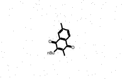 CCCCC1=C(C)C(=O)c2ccc(C)cc2C1=O